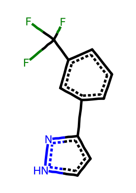 FC(F)(F)c1cccc(-c2cc[nH]n2)c1